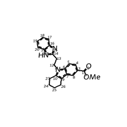 COC(=O)c1ccc2c(c1)c1c(n2CCc2nc3ccccc3[nH]2)CCCC1